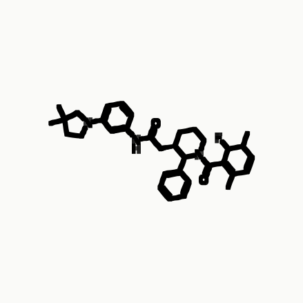 CC1=C(C(=O)N2CCC[C@H](CC(=O)Nc3cccc(N4CCC(C)(C)C4)c3)C2c2ccccc2)C(F)C(C)C=C1